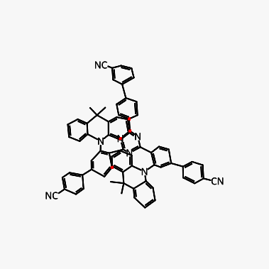 CC1(C)c2ccccc2N(c2cc(-c3ccc(C#N)cc3)ccc2-c2nc(-c3ccc(-c4cccc(C#N)c4)cc3)nc(-c3ccc(-c4ccc(C#N)cc4)cc3N3c4ccccc4C(C)(C)c4ccccc43)n2)c2ccccc21